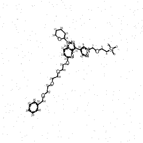 C[Si](C)(C)CCOCn1cc(-c2nn(C3CCCCO3)c3ccc(OCCOCCOCCOCc4ccccc4)nc23)cn1